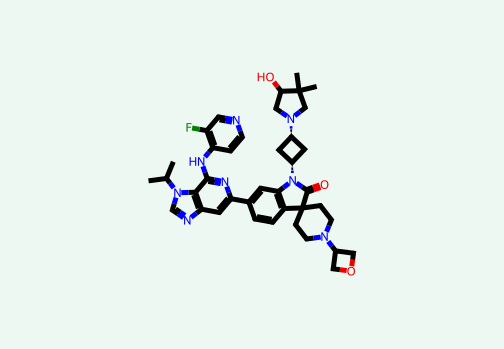 CC(C)n1cnc2cc(-c3ccc4c(c3)N([C@H]3C[C@@H](N5CC(O)C(C)(C)C5)C3)C(=O)C43CCN(C4COC4)CC3)nc(Nc3ccncc3F)c21